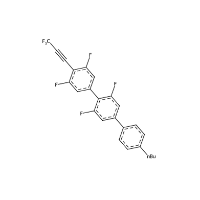 CCCCc1ccc(-c2cc(F)c(-c3cc(F)c(C#CC(F)(F)F)c(F)c3)c(F)c2)cc1